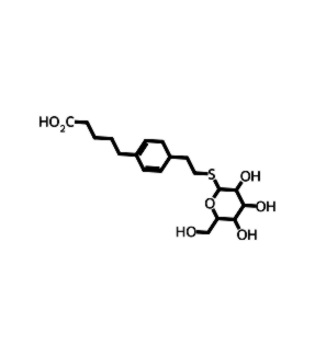 O=C(O)CCCCC1=CCC(CCSC2OC(CO)C(O)C(O)C2O)C=C1